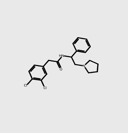 O=C(Cc1ccc(Cl)c(Cl)c1)NC(CN1CCCC1)c1ccccc1